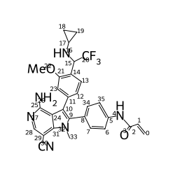 C=CC(=O)Nc1ccc(-c2c(-c3ccc(C(NC4CC4)C(F)(F)F)c(OC)c3)c3c(N)ncc(C#N)c3n2C)cc1